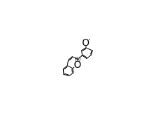 COc1cccc([C@@H]2C=Cc3ccccc3O2)c1